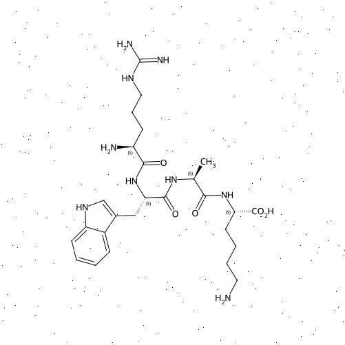 C[C@H](NC(=O)[C@H](Cc1c[nH]c2ccccc12)NC(=O)[C@@H](N)CCCNC(=N)N)C(=O)N[C@@H](CCCCN)C(=O)O